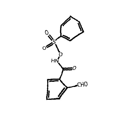 O=Cc1ccccc1C(=O)NOS(=O)(=O)c1ccccc1